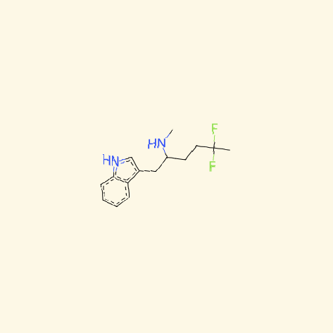 CNC(CCC(C)(F)F)Cc1c[nH]c2ccccc12